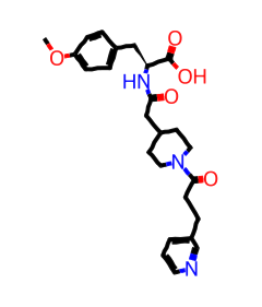 COc1ccc(C[C@H](NC(=O)CC2CCN(C(=O)CCc3cccnc3)CC2)C(=O)O)cc1